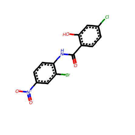 O=C(Nc1ccc([N+](=O)[O-])cc1Br)c1ccc(Cl)cc1O